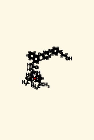 CP(C)c1ccc(N/C(=C\C(=N)C(C)(C)C)NC(=O)Nc2ccc(Oc3ccnc(Nc4ccc(SCCO)cc4)n3)c3ccccc23)cc1